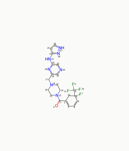 O=C(C1=CC=CC(F)(C(F)(F)F)C1)N1CCN(Cc2cncc(Nc3cc[nH]n3)n2)CC1